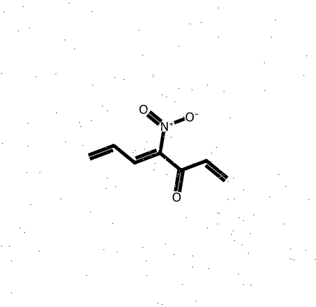 C=CC=C(C(=O)C=C)[N+](=O)[O-]